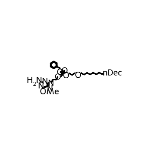 CCCCCCCCCCCCCCCCCCOCCCOP(=O)(COCCn1cnc2c(OC)nc(N)nc21)OCc1ccccc1